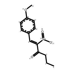 CCCC(=O)/C(=C/c1ccc(OC)cc1)[N+](=O)[O-]